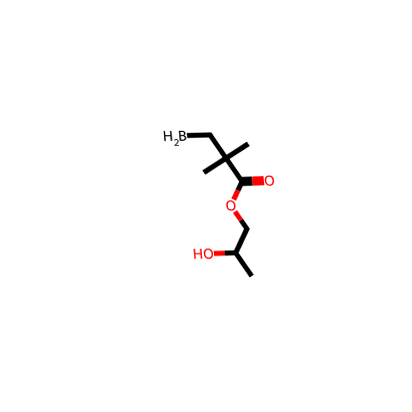 BCC(C)(C)C(=O)OCC(C)O